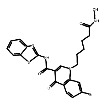 O=C(CCCCCn1cc(C(=O)Nc2nc3ccccc3s2)c(=O)c2ccc(Br)cc21)NO